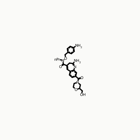 CCCN(OCc1ccc(N)cc1)C(=O)C1=Cc2ccc(C(=O)N3CCOC(CO)C3)cc2N=C(N)C1